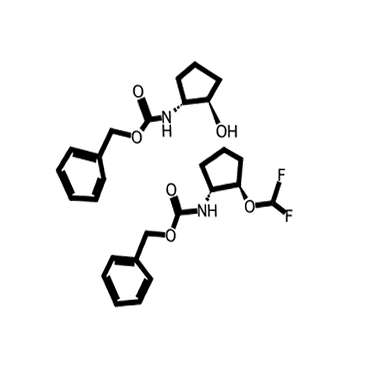 O=C(N[C@@H]1CCC[C@H]1O)OCc1ccccc1.O=C(N[C@@H]1CCC[C@H]1OC(F)F)OCc1ccccc1